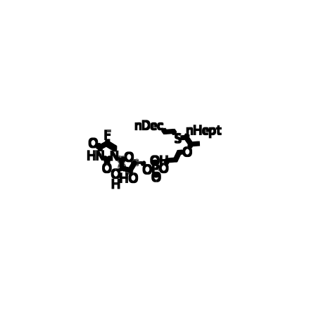 CCCCCCCCCCCCSC(CCCCCCC)C(C)OCCCOP(=O)(O)OC[C@H]1O[C@@H](n2cc(F)c(=O)[nH]c2=O)[C@H](O)[C@@H]1O